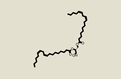 CCCC/C=C\C/C=C\CCCCCCCC(=O)OC[C@H](CO)OC(=O)CCCCCCC/C=C\C/C=C\CCCCC